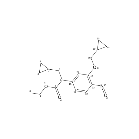 CCOC(=O)C(CC1CC1)c1ccc(N=O)c(OCC2CC2)c1